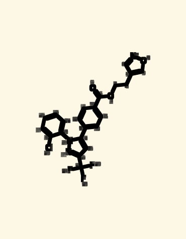 O=C(OCCc1cnoc1)c1ccc(-c2cc(C(F)(F)F)nn2-c2ccccc2Cl)cc1